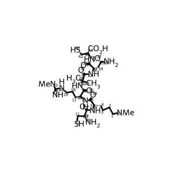 CNCCCC[C@H](NC(=O)[C@@H](N)CS)C(=O)N[C@@H](CCCNC(=N)NC)C(=O)NC(C)(C)C(=O)N[C@@H](CC(N)=O)C(=O)N[C@@H](CS)C(=O)O